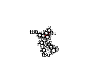 Cc1cc2c3c(c1)N(c1ccc(C(C)(C)C)cc1)c1c(sc4cc5c(cc14)C(C)(C)CCC5(C)C)B3c1ccc(C(C)(C)C)cc1N2c1ccc(C(C)(C)C)cc1-c1ccc2ccccc2c1